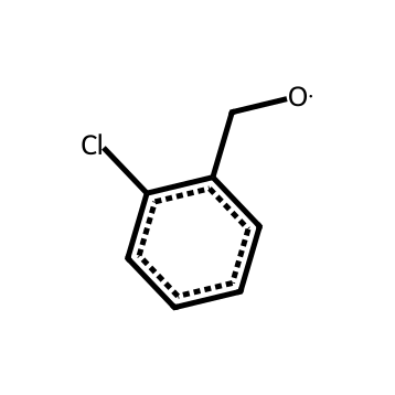 [O]Cc1ccccc1Cl